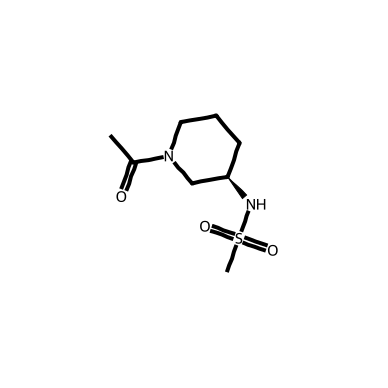 CC(=O)N1CCC[C@@H](NS(C)(=O)=O)C1